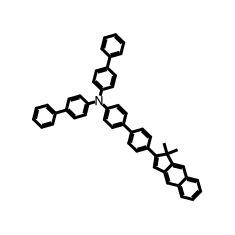 CC1(C)C(c2ccc(-c3ccc(N(c4ccc(-c5ccccc5)cc4)c4ccc(-c5ccccc5)cc4)cc3)cc2)=Cc2cc3ccccc3cc21